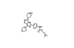 CN(C)CCOC(=O)Nc1ccc(-c2nc(N3CCOCC3)c3cnn(C4CCNCC4)c3n2)cc1